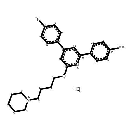 Cl.Fc1ccc(-c2cc(OCCCCN3CCCCC3)nc(-c3ccc(F)cc3)c2)cc1